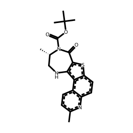 Cc1ccc2c(ccc3sc4c(c32)NC[C@H](C)N(C(=O)OC(C)(C)C)C4=O)n1